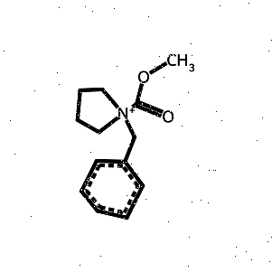 COC(=O)[N+]1(Cc2ccccc2)CCCC1